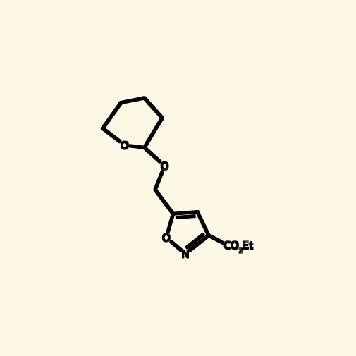 CCOC(=O)c1cc(COC2CCCCO2)on1